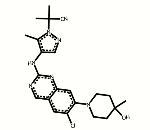 Cc1c(Nc2ncc3cc(Cl)c(N4CCC(C)(O)CC4)cc3n2)cnn1C(C)(C)C#N